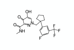 CNC(=O)c1nn(CC2(c3cc(F)cc(C(F)(F)F)c3)CCCC2)cc(O)c1=O